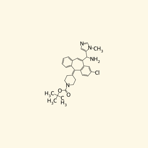 Cn1cncc1C(N)C1=Cc2ccccc2C(=C2CCN(C(=O)OC(C)(C)C)CC2)c2ccc(Cl)cc21